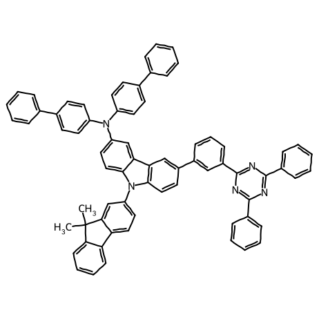 CC1(C)c2ccccc2-c2ccc(-n3c4ccc(-c5cccc(-c6nc(-c7ccccc7)nc(-c7ccccc7)n6)c5)cc4c4cc(N(c5ccc(-c6ccccc6)cc5)c5ccc(-c6ccccc6)cc5)ccc43)cc21